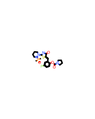 CP(C)(=O)N1CCCCN1C1=NC(=O)/C(=C/c2cc(F)ccc2OC(=O)N2CCCC2)S1